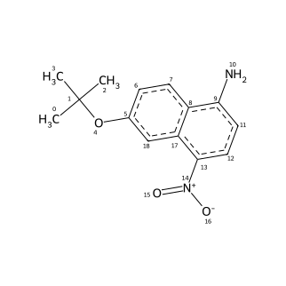 CC(C)(C)Oc1ccc2c(N)ccc([N+](=O)[O-])c2c1